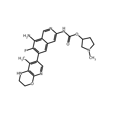 Cc1c(-c2cc3cc(NC(=O)OC4CCN(C)C4)ncc3c(N)c2F)cnc2c1NCCO2